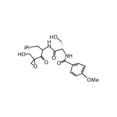 COc1ccc(C(=O)N[C@@H](CO)C(=O)NC(CC(C)C)C(=O)C2(CO)CO2)cc1